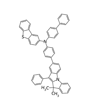 CC1(C)c2ccccc2-n2c1c(-c1ccccc1)c1cc(-c3ccc(N(c4ccc(-c5ccccc5)cc4)c4ccc5sc6ccccc6c5c4)cc3)ccc12